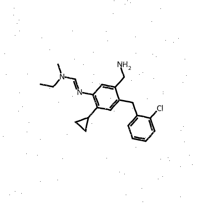 CCN(C)C=Nc1cc(CN)c(Cc2ccccc2Cl)cc1C1CC1